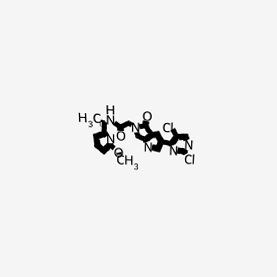 COc1cccc([C@@H](C)NC(=O)CN2Cc3ncc(-c4nc(Cl)ncc4Cl)cc3C2=O)n1